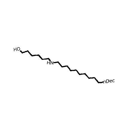 CCCCCCCCCCCCCCCCCCCCNCCCCCCO